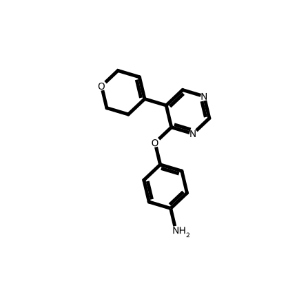 Nc1ccc(Oc2ncncc2C2=CCOCC2)cc1